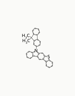 CC1(C)c2ccccc2-c2ccc(-n3c4ccccc4c4cc5c(cc43)sc3ccccc35)cc21